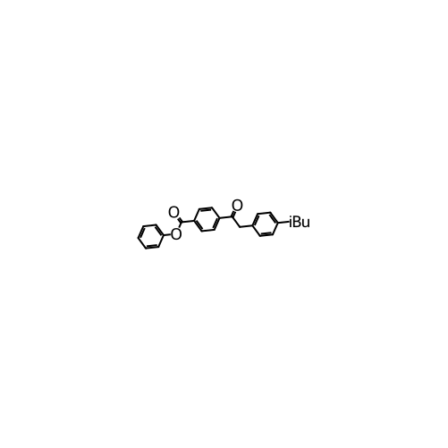 CCC(C)c1ccc(CC(=O)c2ccc(C(=O)Oc3ccccc3)cc2)cc1